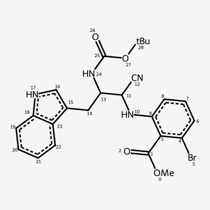 COC(=O)c1c(Br)cccc1NC(C#N)C(Cc1c[nH]c2ccccc12)NC(=O)OC(C)(C)C